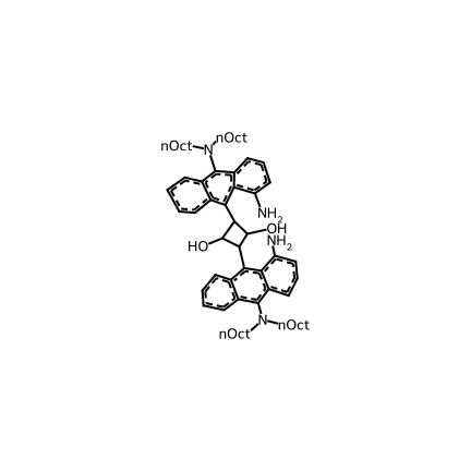 CCCCCCCCN(CCCCCCCC)c1c2ccccc2c(C2C(O)C(c3c4ccccc4c(N(CCCCCCCC)CCCCCCCC)c4cccc(N)c34)C2O)c2c(N)cccc12